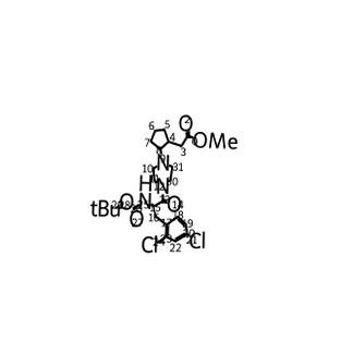 COC(=O)CC1CCCC1N1CCN(C(=O)[C@@H](Cc2ccc(Cl)cc2Cl)NC(=O)OC(C)(C)C)CC1